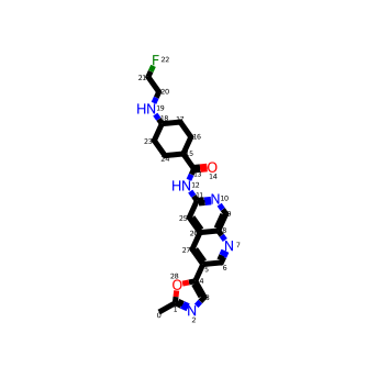 Cc1ncc(-c2cnc3cnc(NC(=O)C4CCC(NCCF)CC4)cc3c2)o1